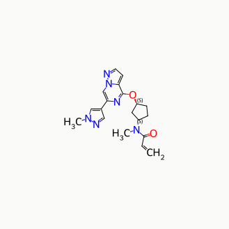 C=CC(=O)N(C)[C@H]1CC[C@H](Oc2nc(-c3cnn(C)c3)cn3nccc23)C1